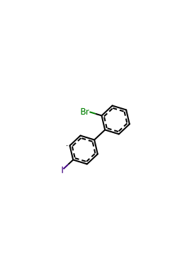 Brc1ccccc1-c1c[c]c(I)cc1